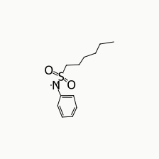 CCCCCCS(=O)(=O)[N]c1ccccc1